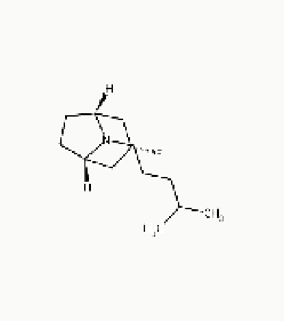 CC(C)CCCN1[C@@H]2CC[C@H]1C[C@@H](F)C2